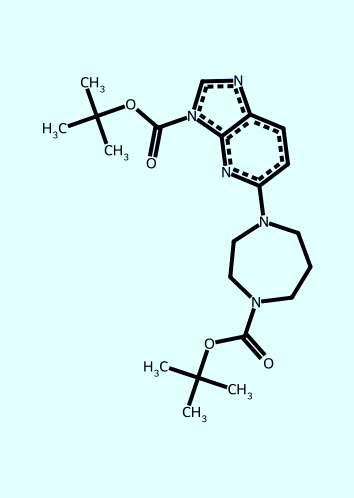 CC(C)(C)OC(=O)N1CCCN(c2ccc3ncn(C(=O)OC(C)(C)C)c3n2)CC1